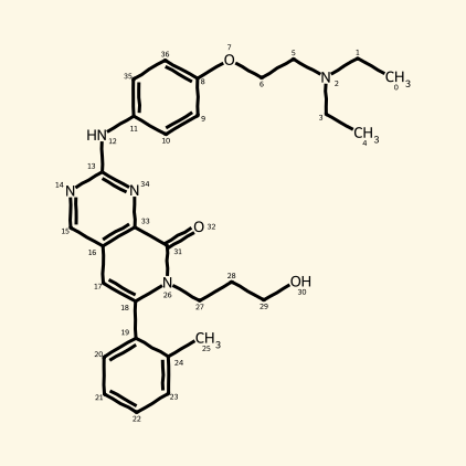 CCN(CC)CCOc1ccc(Nc2ncc3cc(-c4ccccc4C)n(CCCO)c(=O)c3n2)cc1